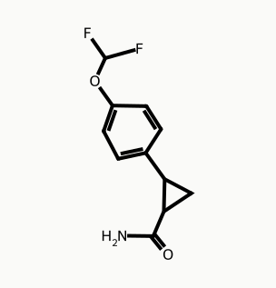 NC(=O)C1CC1c1ccc(OC(F)F)cc1